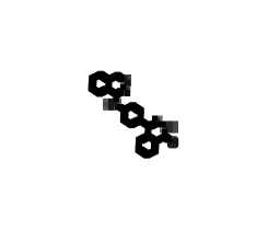 O=c1[nH]nc(-c2ccc(Nc3nncc4ccccc34)cc2)c2ccccc12